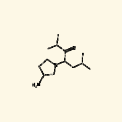 CC(C)CC(C(=O)C(C)C)N1CCC(N)C1